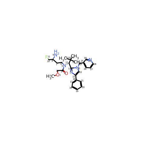 COCC(=O)N(CC[C@H](N)CF)[C@@H](c1nc(-c2ccccc2)cn1Cc1cccnc1)C(C)(C)C